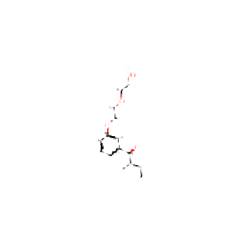 CCC(I)C(=O)c1cccc(OCCOCCO)c1